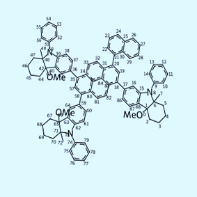 COC12CCCCC1(C)N(c1ccccc1)c1cc(-c3cc(-c4cccc5ccccc45)c4ccc5c(-c6ccc7c(c6)C6(OC)CCCCC6(C)N7c6ccccc6)cc(-c6ccc7c(c6)C6(OC)CCCCC6(C)N7c6ccccc6)c6ccc3c4c65)ccc12